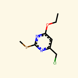 CCOc1cc(CCl)nc(SC)n1